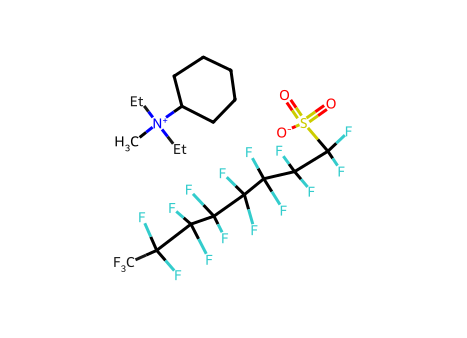 CC[N+](C)(CC)C1CCCCC1.O=S(=O)([O-])C(F)(F)C(F)(F)C(F)(F)C(F)(F)C(F)(F)C(F)(F)C(F)(F)C(F)(F)F